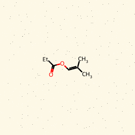 CCC(=O)OC=C(C)C